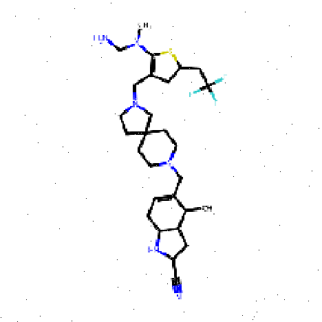 CC1C(CN2CCC3(CC2)CCN(CC2=C(N(C)CN)SC(CC(F)(F)F)C2)C3)=CCC2NC(C#N)CC21